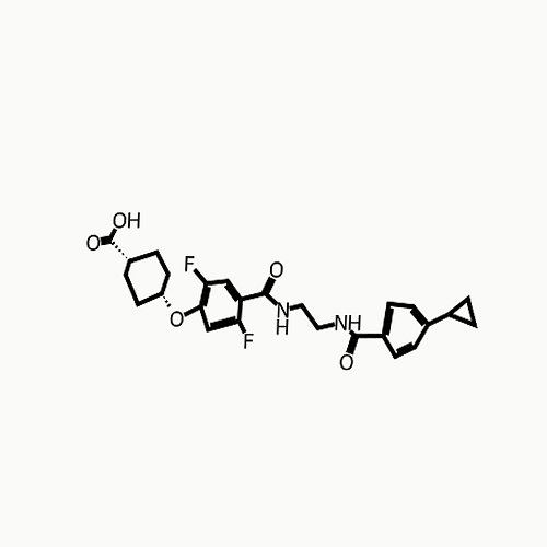 O=C(NCCNC(=O)c1cc(F)c(O[C@H]2CC[C@@H](C(=O)O)CC2)cc1F)c1ccc(C2CC2)cc1